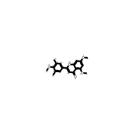 COc1cc(OC)c2c(=O)cc(-c3cc(C)c(OC)c(C)c3)oc2c1